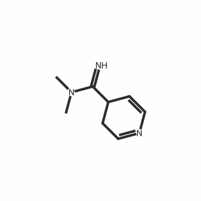 CN(C)C(=N)C1C=CN=CC1